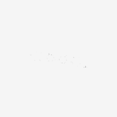 CCC[C@H]1CC[C@H](c2ccc(-c3ccc(C4=CCC(CC(C)CC)CC4)cc3)cc2)CC1